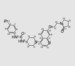 CC(C)c1ccc(NC(=O)NC2CCN(c3ccnc4cc(OCCN5CCCC5=O)ccc34)CC2)cc1